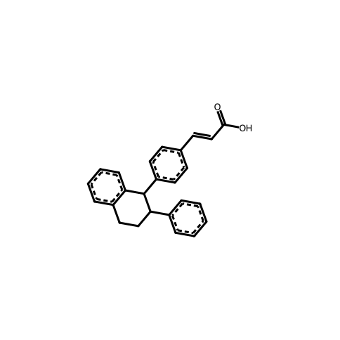 O=C(O)C=Cc1ccc(C2c3ccccc3CCC2c2ccccc2)cc1